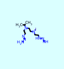 CC(C)N(CCN=NN)CCN(I)CCNN=N